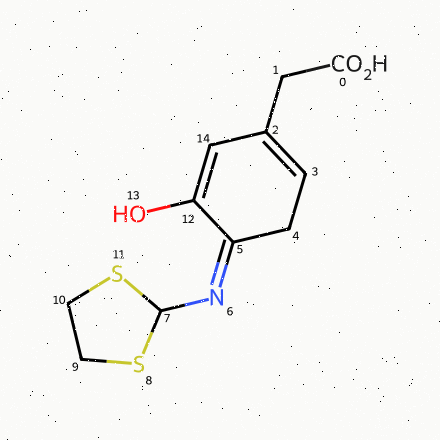 O=C(O)CC1=CCC(=NC2SCCS2)C(O)=C1